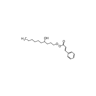 CCCCCCC(O)CCCOOC(=O)C=Cc1ccccc1